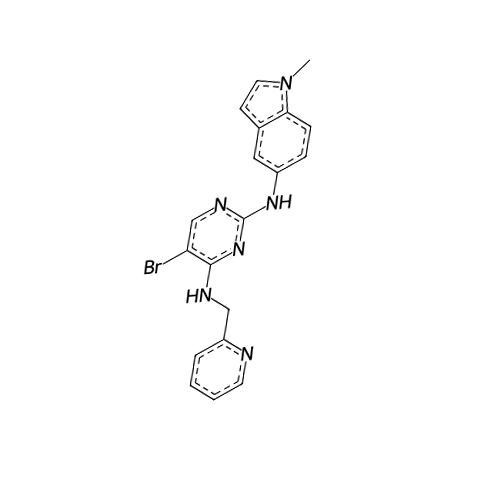 Cn1ccc2cc(Nc3ncc(Br)c(NCc4ccccn4)n3)ccc21